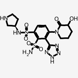 NS(=O)(=O)c1c(S(=O)(=O)N[C@@H]2CCNC2)ccc(N2CCCC(O)C2=O)c1-c1nn[nH]n1